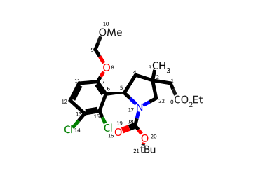 CCOC(=O)CC1(C)C[C@H](c2c(OCOC)ccc(Cl)c2Cl)N(C(=O)OC(C)(C)C)C1